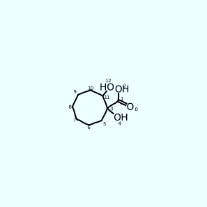 O=C(O)C1(O)CCCCCCC1O